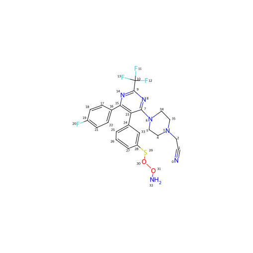 N#CCN1CCN(c2nc(C(F)(F)F)nc(-c3ccc(F)cc3)c2-c2cccc(SOON)c2)CC1